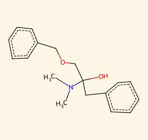 CN(C)C(O)(COCc1ccccc1)Cc1ccccc1